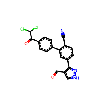 N#Cc1ccc(-c2n[nH]cc2C=O)cc1-c1ccc(C(=O)C(Cl)Cl)cc1